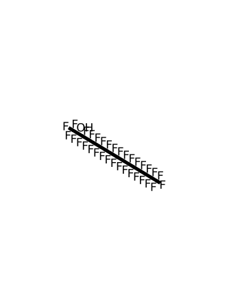 OC(F)(C(F)(F)F)C(F)(F)C(F)(F)C(F)(F)C(F)(F)C(F)(F)C(F)(F)C(F)(F)C(F)(F)C(F)(F)C(F)(F)C(F)(F)C(F)(F)C(F)(F)C(F)(F)F